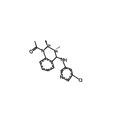 CC(=O)N1c2ccccc2C(Nc2cncc(Cl)c2)[C@@H](C)[C@@H]1C